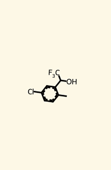 Cc1ccc(Cl)cc1C(O)C(F)(F)F